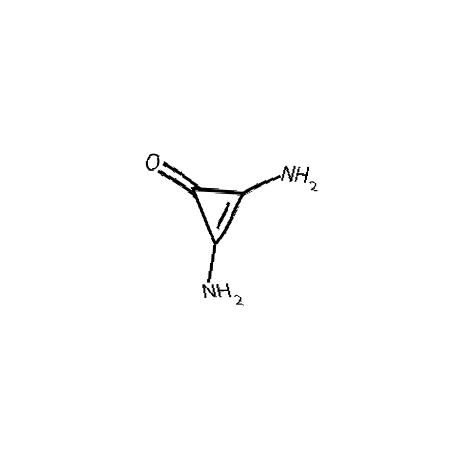 Nc1c(N)c1=O